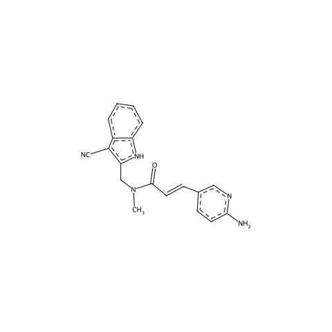 CN(Cc1[nH]c2ccccc2c1C#N)C(=O)/C=C/c1ccc(N)nc1